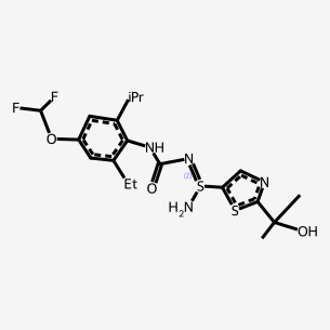 CCc1cc(OC(F)F)cc(C(C)C)c1NC(=O)/N=S(\N)c1cnc(C(C)(C)O)s1